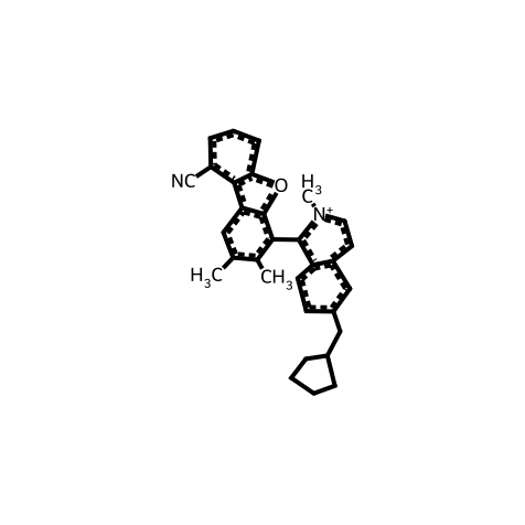 Cc1cc2c(oc3cccc(C#N)c32)c(-c2c3ccc(CC4CCCC4)cc3cc[n+]2C)c1C